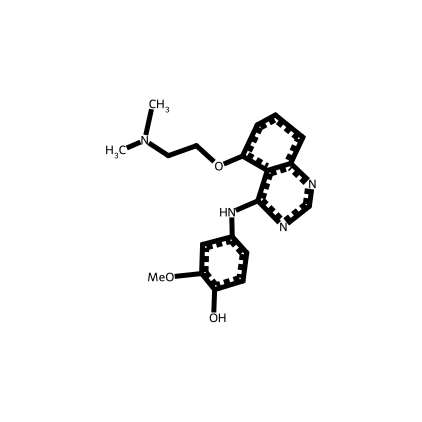 COc1cc(Nc2ncnc3cccc(OCCN(C)C)c23)ccc1O